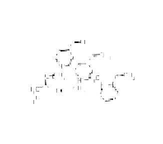 C=C(C)C(=O)[O-].C=Cc1cc[n+](C)cc1.C=Cc1cc[n+](C)cc1.C=Cc1cccc[n+]1C.[Cl-].[Cl-]